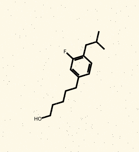 CC(C)Cc1ccc(CCCCCO)cc1F